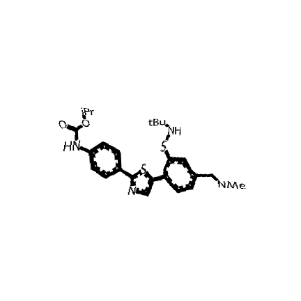 CNCc1ccc(-c2cnc(-c3ccc(NC(=O)OC(C)C)cc3)s2)c(SNC(C)(C)C)c1